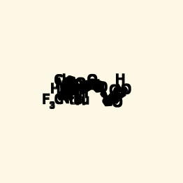 COc1cc(C(=O)N2CCO[C@@H](C#Cc3cccc4c3CN(C3CCC(=O)NC3=O)C4=O)CC2)ccc1NC(=O)[C@@H]1N[C@@H](CC(C)(C)C)[C@@]2(CNc3cc(C(F)(F)F)ncc32)[C@H]1c1cccc(Cl)c1F